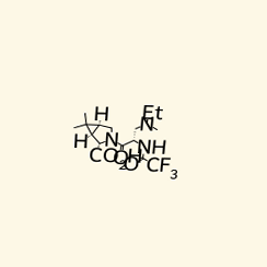 CCN(C)C[C@H](NC(=O)C(F)(F)F)C(=O)N1C[C@H]2[C@@H]([C@H]1C(=O)O)C2(C)C